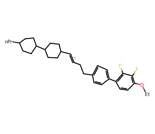 CCCC1CCC(C2CCC(/C=C/CCc3ccc(-c4ccc(OCC)c(F)c4F)cc3)CC2)CC1